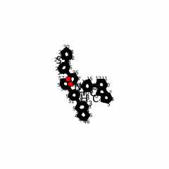 CC1(C)c2ccccc2-c2cccc(-c3ccc(N(c4ccc(-c5ccc6sc7ccccc7c6c5)cc4)c4cc(-c5ccc6ccccc6c5)ccc4-c4ccccc4)cc3)c21